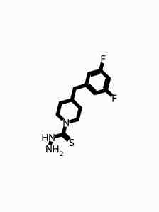 NNC(=S)N1CCC(Cc2cc(F)cc(F)c2)CC1